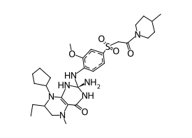 CCC1CN(C)C2=C(N[C@](N)(Nc3ccc(S(=O)(=O)CC(=O)N4CCC(C)CC4)cc3OC)NC2=O)N1C1CCCC1